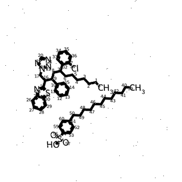 CCCCCCCC(CC(c1ccccc1)C(Cn1ncnn1)c1nc2ccccc2s1)c1ccccc1Cl.CCCCCCCCCCCCc1ccc(S(=O)(=O)O)cc1